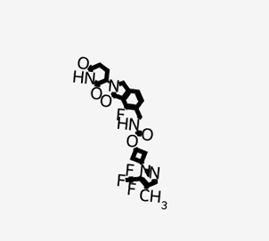 Cc1cnn(C2CC(OC(=O)NCc3ccc4c(c3F)C(=O)N([C@@H]3CCC(=O)NC3=O)C4)C2)c1C(F)(F)F